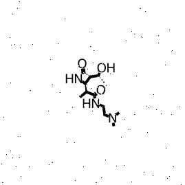 CC(C(=O)NCCN(C)C)[C@H]1NC(=O)[C@@H]1[C@@H](C)O